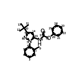 Cc1ccccc1-n1nc(C(C)(C)C)cc1NC(=O)Oc1ccccc1